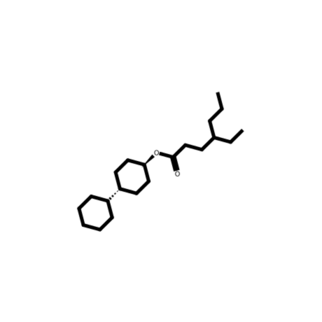 CCCC(CC)CCC(=O)O[C@H]1CC[C@H](C2CCCCC2)CC1